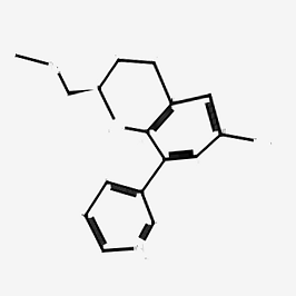 CNC[C@H]1CCc2cc(F)cc(-c3cccnc3)c2O1